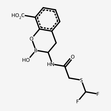 O=C(CSC(F)F)NC1Cc2cccc(C(=O)O)c2OB1O